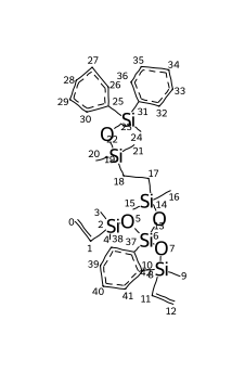 C=C[Si](C)(C)O[Si](O[Si](C)(C)C=C)(O[Si](C)(C)CC[Si](C)(C)O[Si](C)(c1ccccc1)c1ccccc1)c1ccccc1